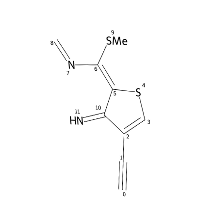 C#CC1=CS/C(=C(/N=C)SC)C1=N